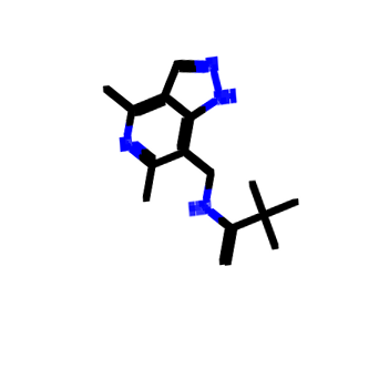 C=C(NCc1c(C)nc(C)c2cn[nH]c12)C(C)(C)C